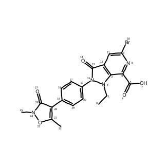 CCn1c2c(C(=O)O)nc(Br)cc2c(=O)n1-c1ccc(-c2c(C)on(C)c2=O)cc1